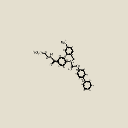 CC(C)(C)c1ccc(CN(C(=O)Oc2ccc(-c3ccccc3)cc2)c2ccc(C(=O)NCCC(=O)O)cc2)cc1